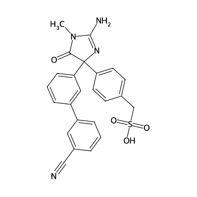 CN1C(=O)C(c2ccc(CS(=O)(=O)O)cc2)(c2cccc(-c3cccc(C#N)c3)c2)N=C1N